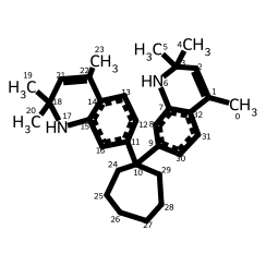 CC1=CC(C)(C)Nc2cc(C3(c4ccc5c(c4)NC(C)(C)C=C5C)CCCCCC3)ccc21